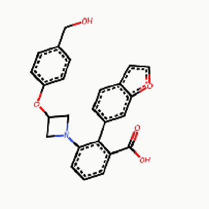 O=C(O)c1cccc(N2CC(Oc3ccc(CO)cc3)C2)c1-c1ccc2ccoc2c1